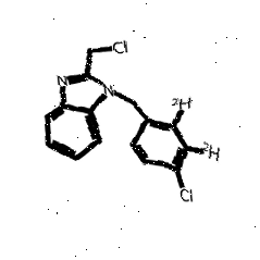 [2H]c1c(Cl)ccc(Cn2c(CCl)nc3ccccc32)c1[2H]